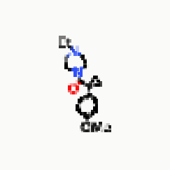 CCN1CCN(C(=O)C2(c3ccc(OC)cc3)CC2)CC1